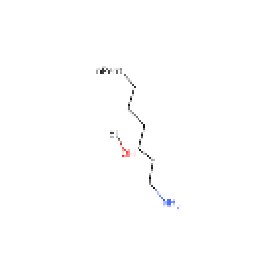 CCCCCCCCCCCN.CCO